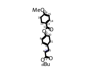 CCC(C)OC(=O)/C=C/C1=CC=C(OC(=O)C2=CC=C(OC)CC2)CC1